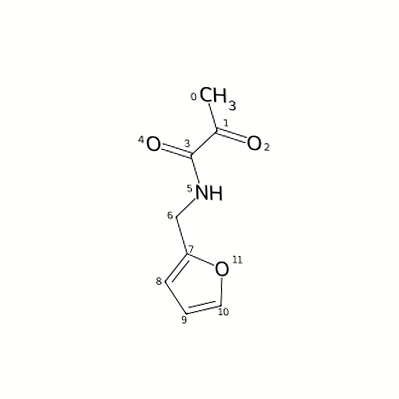 CC(=O)C(=O)NCc1ccco1